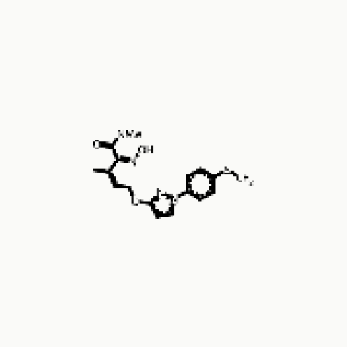 CNC(=O)C(=NO)C(C)=CCOc1ccn(-c2ccc(SC(F)(F)F)cc2)n1